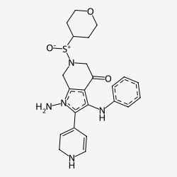 Nn1c2c(c(Nc3ccccc3)c1C1=CCNC=C1)C(=O)CN([S+]([O-])C1CCOCC1)C2